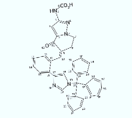 O=C(O)Nc1cc2n(n1)CCC(=Cc1ccccc1-c1cn(C(c3ccccc3)(c3ccccc3)c3ccccc3)cn1)C2=O